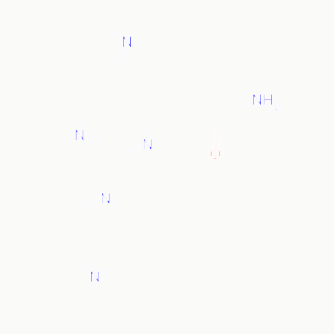 CN1CCN(c2nc(CC(N)=O)c3ncccc3n2)CC1